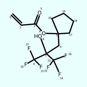 C=CC(=O)OC1(CC(O)(C(F)(F)F)C(F)(F)F)CCCC1